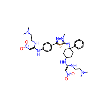 CN(C)CCNC(=C[N+](=O)[O-])Nc1ccc(-c2nn(C)c(=NC3(c4ccccc4)CCC(NC(=C[N+](=O)[O-])NCCN(C)C)CC3)s2)cc1